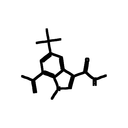 C=C(C)c1cc(C(C)(C)C)cc2c(C(=O)NC)cn(C)c12